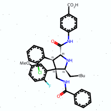 COc1ccc(F)c([C@@]2(CNC(=O)c3ccccc3)[C@H](CC(C)(C)C)N[C@@H](C(=O)Nc3ccc(C(=O)O)cc3)[C@@H]2c2ccccc2Cl)c1